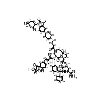 Cn1c(=O)n(C2CCC(=O)NC2=O)c2ccc([C@H]3CC[C@@H](CCCC(=O)N4CC[C@H]5CC[C@@H](C(=O)N[C@@H](CCC(N)=O)C(=O)NC(c6ccccc6)c6ccccc6)N5C(=O)[C@@H](NC(=O)c5cc6cc(C(=O)P(=O)(O)O)ccc6[nH]5)C4)CC3)cc21